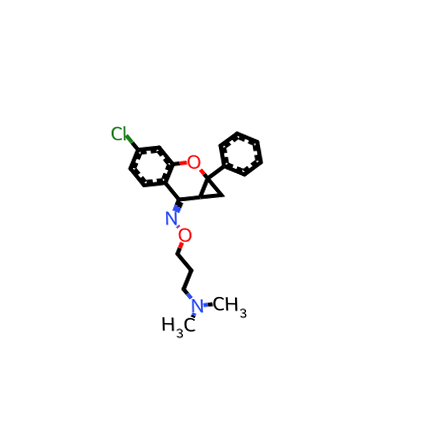 CN(C)CCCON=C1c2ccc(Cl)cc2OC2(c3ccccc3)CC12